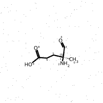 C[C@@](N)([C]=O)CCC(=O)O